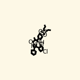 CCCN(CCC)S(=O)(=O)c1ccc(-c2[nH]c3c(-c4ccc(Cl)cc4Cl)c(-c4ccccc4)nn3c(=O)c2C)cc1